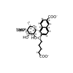 C[C@@H]1O[C@H](c2c(OCCCCC(=O)[O-])ccc3cc(C(=O)[O-])ccc23)[C@@H](O)[C@H](O)[C@@H]1O.[Na+].[Na+]